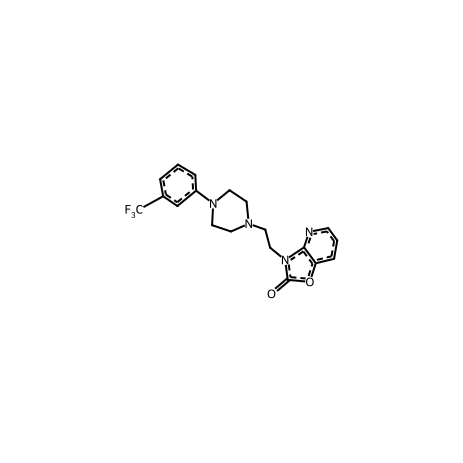 O=c1oc2cccnc2n1CCN1CCN(c2cccc(C(F)(F)F)c2)CC1